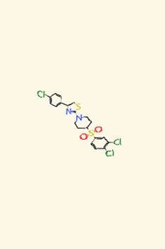 O=S(=O)(c1ccc(Cl)c(Cl)c1)C1CCN(c2nc(-c3ccc(Cl)cc3)cs2)CC1